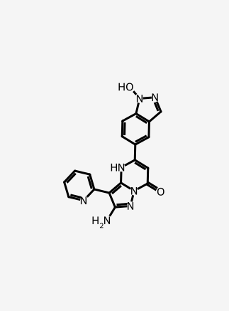 Nc1nn2c(=O)cc(-c3ccc4c(cnn4O)c3)[nH]c2c1-c1ccccn1